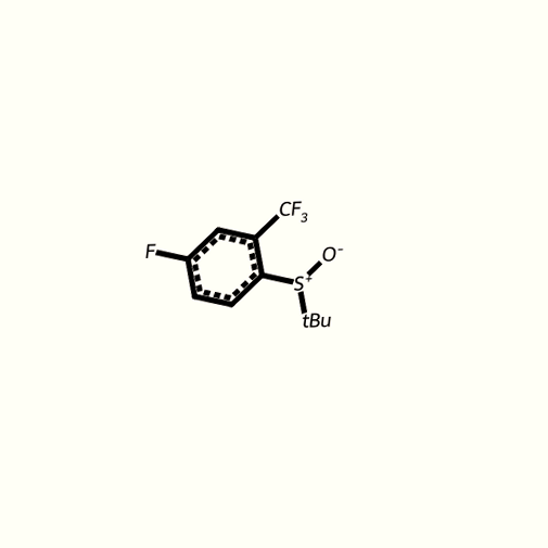 CC(C)(C)[S+]([O-])c1ccc(F)cc1C(F)(F)F